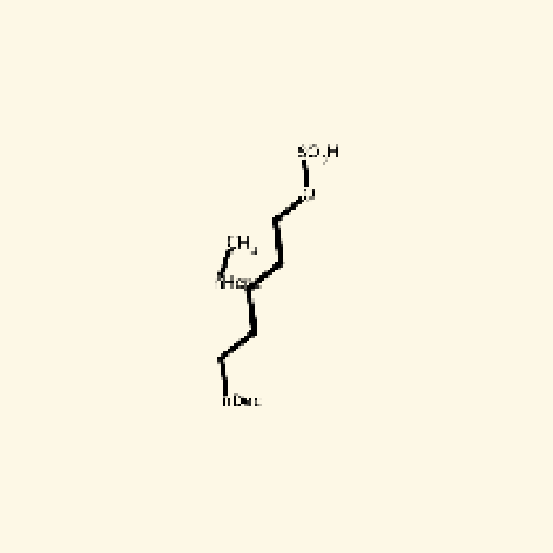 CCCCCCCC.CCCCCCCCCCCCCCCOS(=O)(=O)O